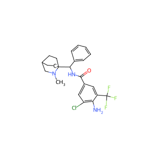 CN1CC2CCC1(C(NC(=O)c1cc(Cl)c(N)c(C(F)(F)F)c1)c1ccccc1)CC2